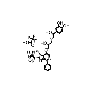 CCn1c(-c2nonc2N)nc2c(-c3ccccc3)ncc(OCC(O)CNC[C@H](O)c3ccc(O)c(O)c3)c21.O=C(O)C(F)(F)F